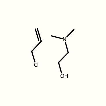 C=CCCl.CN(C)CCO